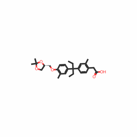 CCC(CC)(c1ccc(CC(=O)O)c(C)c1)c1ccc(OC[C@@H]2COC(C)(C)O2)c(C)c1